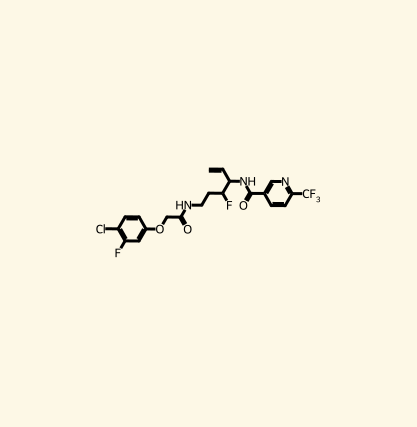 C=CC(NC(=O)c1ccc(C(F)(F)F)nc1)C(F)CCNC(=O)COc1ccc(Cl)c(F)c1